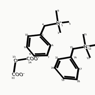 C[N+](C)(C)Cc1ccccc1.C[N+](C)(C)Cc1ccccc1.O=C([O-])OC(=O)[O-]